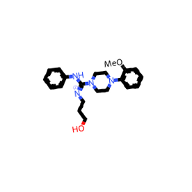 COc1ccccc1N1CCN(/C(=N\CCCO)Nc2ccccc2)CC1